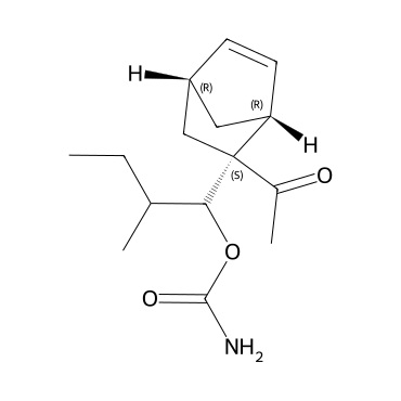 CCC(C)C(OC(N)=O)[C@]1(C(C)=O)C[C@@H]2C=C[C@H]1C2